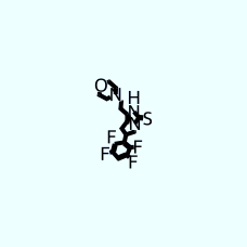 Fc1cc(F)c(F)c(C2Cc3c(CCN4CCOCC4)[nH]c(=S)n3C2)c1F